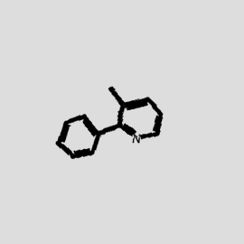 Cc1cccnc1-c1ccccc1